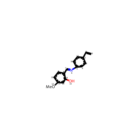 C=Cc1ccc(N=Cc2ccc(OC)cc2O)cc1